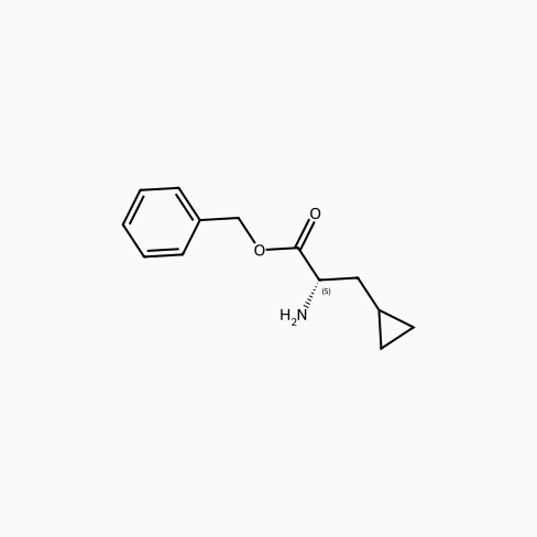 N[C@@H](CC1CC1)C(=O)OCc1ccccc1